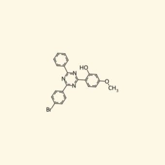 COc1ccc(-c2nc(-c3ccccc3)nc(-c3ccc(Br)cc3)n2)c(O)c1